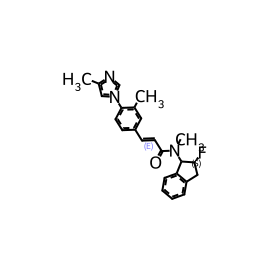 Cc1cn(-c2ccc(/C=C/C(=O)N(C)C3c4ccccc4C[C@@H]3F)cc2C)cn1